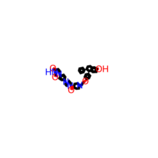 O=C1CCN(c2ccc(N3CCN(C(=O)C4CCN(CCOc5ccc([C@@H]6c7ccc(O)cc7CC[C@@H]6c6ccccc6)cc5)CC4)CC3)cc2)C(=O)N1